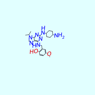 COc1ccc(O)c(CNc2nc(NC3CCC(N)CC3)nc3c2ncn3C(C)C)c1